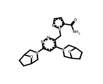 NC(=O)c1ccnn1Cc1nnc(N2CC3CCC(C2)O3)cc1N1CC2CCC(C1)O2